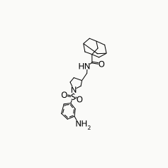 Nc1cccc(S(=O)(=O)N2CCC(CNC(=O)C34CC5CC(CC(C5)C3)C4)C2)c1